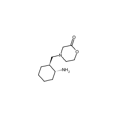 N[C@@H]1CCCC[C@H]1CN1CCOC(=O)C1